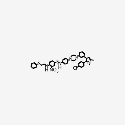 Cc1cc(-c2cccc(N3CCN(c4ccc(NSc5ccc(NCCSc6ccccc6)c([N+](=O)[O-])c5)cc4)CC3)c2)c(-c2ccc(Cl)cc2)n1C